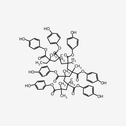 CCC(C)(CC(C)(CC(C)(CC(C)(CC(C)(CC(C)(CC(C)(C)C(=O)Oc1ccc(O)cc1)C(=O)Oc1ccc(O)cc1)C(=O)Oc1ccc(O)cc1)C(=O)Oc1ccc(O)cc1)C(=O)Oc1ccc(O)cc1)C(=O)Oc1ccc(O)cc1)C(=O)Oc1ccc(O)cc1